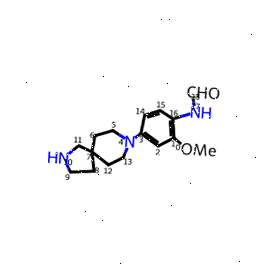 COc1cc(N2CCC3(CCNC3)CC2)ccc1NC=O